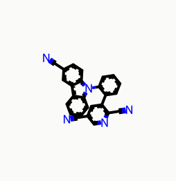 N#Cc1cnc(C#N)c(-c2ccccc2-n2c3ccccc3c3cc(C#N)ccc32)c1